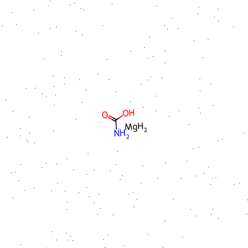 NC(=O)O.[MgH2]